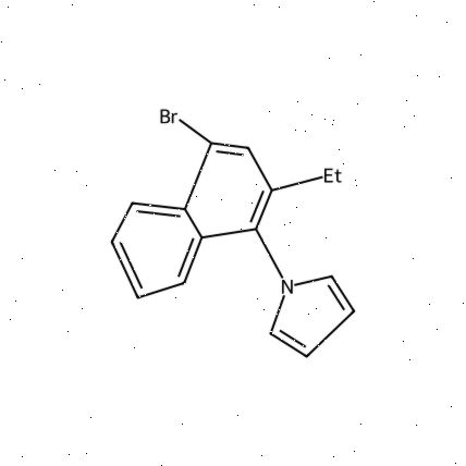 CCc1cc(Br)c2ccccc2c1-n1cccc1